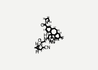 N#CC1C[C@@H]2C[C@@H]2N1C(=O)CNCCC1(c2nnn[nH]2)c2ccc(F)cc2CCc2cc(C(=O)N3CCC3)ccc21